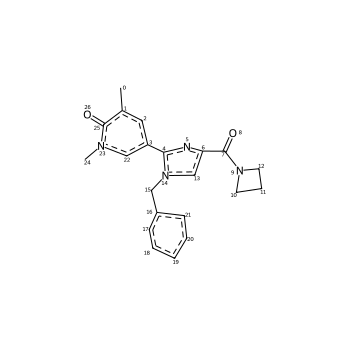 Cc1cc(-c2nc(C(=O)N3CCC3)cn2Cc2ccccc2)cn(C)c1=O